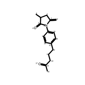 C=C1CC(C)C(=O)N1c1ccc(CCCC(C)=O)cc1